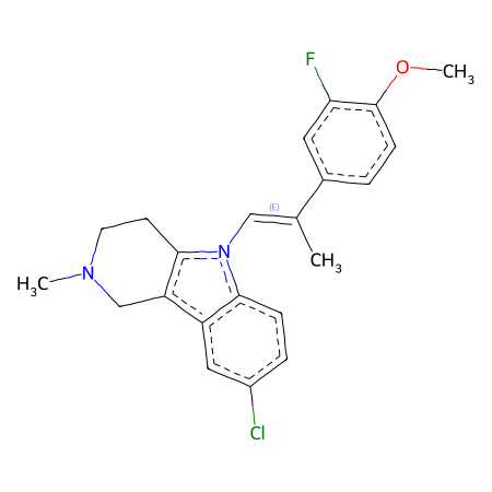 COc1ccc(/C(C)=C/n2c3c(c4cc(Cl)ccc42)CN(C)CC3)cc1F